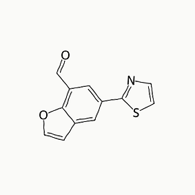 O=Cc1cc(-c2nccs2)cc2ccoc12